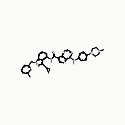 Cc1cccc(Cn2nc(C3CC3)c3c(NC(=O)c4csc5c(Nc6ccc(N7CCN(C)CC7)cc6)ncnc45)cccc32)n1